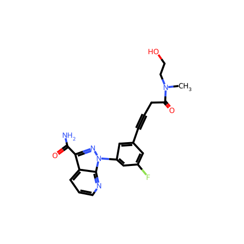 CN(CCO)C(=O)CC#Cc1cc(F)cc(-n2nc(C(N)=O)c3cccnc32)c1